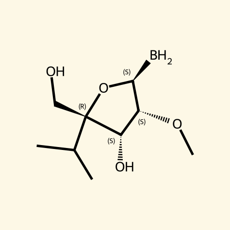 B[C@@H]1O[C@@](CO)(C(C)C)[C@@H](O)[C@H]1OC